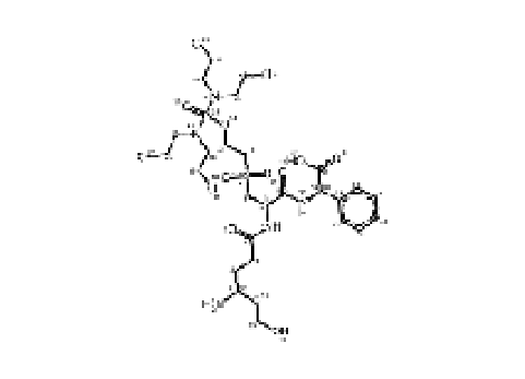 N[C@@H](CCC(=O)N[C@@H](CS(=O)(=O)CCOP(=O)(N(CCCl)CCCl)N(CCCl)CCCl)C(=O)N[C@@H](C(=O)O)c1ccccc1)OCO